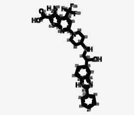 Nc1c(C(=O)O)sc2nc(N3CCC(NCC(O)c4ccc5[nH]c(-c6ccccc6)nc5c4)CC3)cc(C(F)(F)F)c12